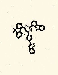 CC1(C)c2ccccc2-c2c(-c3cc(-c4ccc(-c5cc6ccccc6s5)cc4)nc(-c4cccc5c4sc4ccccc45)n3)cccc21